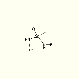 CCN[Si](C)([O])NCC